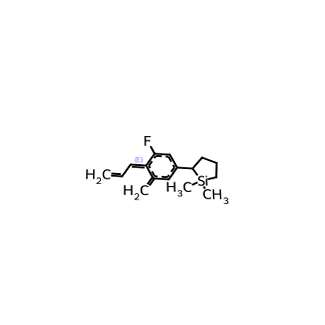 C=C/C=c1/c(F)cc(C2CCC[Si]2(C)C)cc1=C